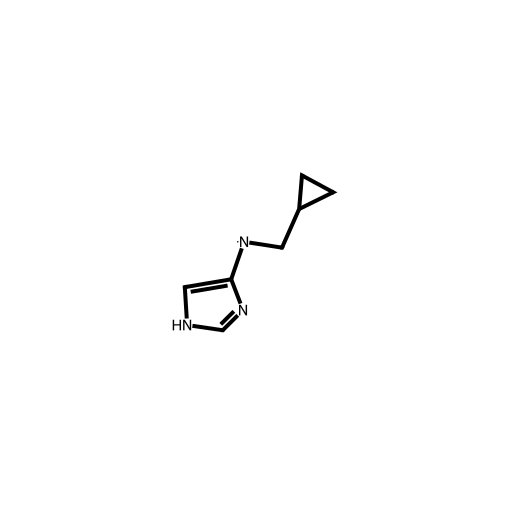 c1nc([N]CC2CC2)c[nH]1